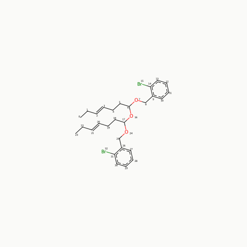 CCC=CCCC(OCc1ccccc1Br)OC(CCC=CCC)OCc1ccccc1Br